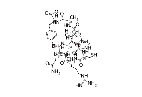 CC(C)C[C@H](NC(=O)[C@H](CCC(N)=O)NC(=O)[C@H](CCCNC(=N)N)NC(=O)[C@H](CS)NC(=O)[C@@H](N)CC(C)C)C(=O)N[C@@H](Cc1c[nH]cn1)C(=O)N[C@@H](C)C(=O)N[C@@H](Cc1ccc(O)cc1)C(=O)O